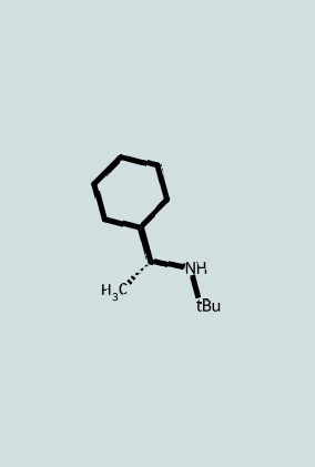 C[C@@H](NC(C)(C)C)C1CCCCC1